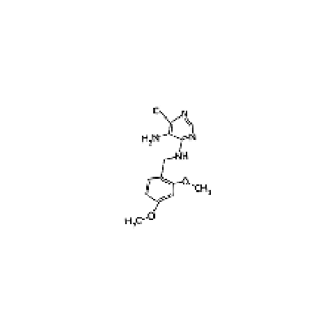 COc1ccc(CNc2ncnc(Cl)c2N)c(OC)c1